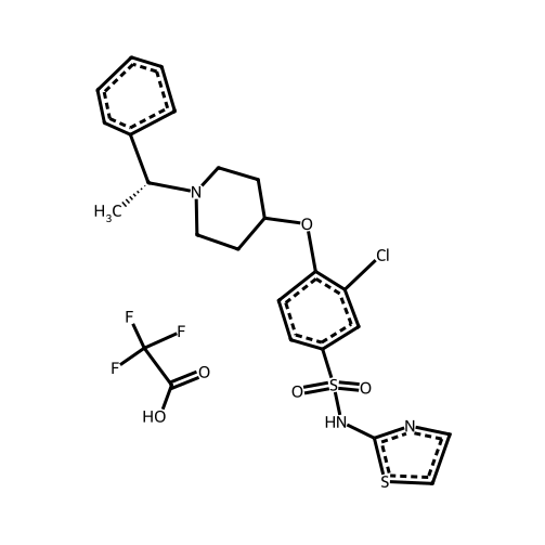 C[C@H](c1ccccc1)N1CCC(Oc2ccc(S(=O)(=O)Nc3nccs3)cc2Cl)CC1.O=C(O)C(F)(F)F